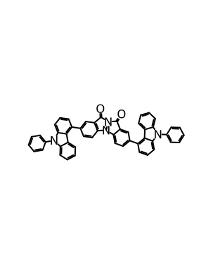 O=c1c2cc(-c3cccc4c3c3ccccc3n4-c3ccccc3)ccc2n2c3ccc(-c4cccc5c4c4ccccc4n5-c4ccccc4)cc3c(=O)n12